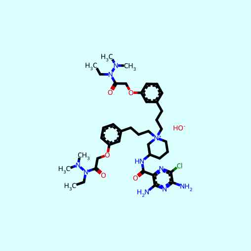 CCN(C(=O)COc1cccc(CCC[N+]2(CCCc3cccc(OCC(=O)N(CC)N(C)C)c3)CCCC(NC(=O)c3nc(Cl)c(N)nc3N)C2)c1)N(C)C.[OH-]